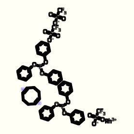 C1=C\CC/C=C\CC/1.O=S(=O)([O-])C(F)(F)F.O=S(=O)([O-])C(F)(F)F.O=S(=O)([O-])C(F)(F)F.[Rh+3].c1ccc(OP(Oc2ccccc2)Oc2ccccc2)cc1.c1ccc(OP(Oc2ccccc2)Oc2ccccc2)cc1